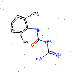 CCCc1cccc(C)c1NC(=O)NC(=N)N